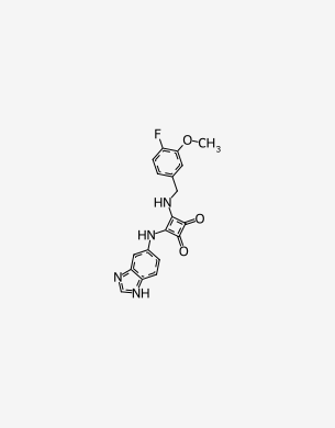 COc1cc(CNc2c(Nc3ccc4[nH]cnc4c3)c(=O)c2=O)ccc1F